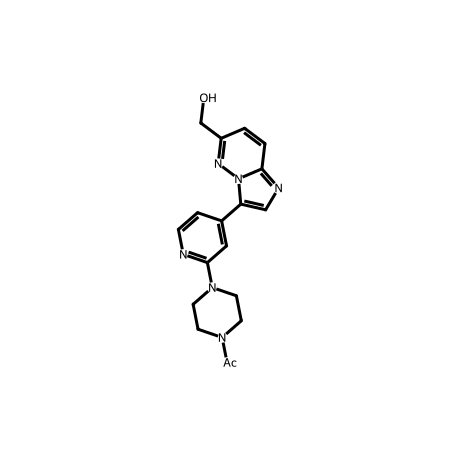 CC(=O)N1CCN(c2cc(-c3cnc4ccc(CO)nn34)ccn2)CC1